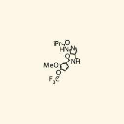 COc1cc(C(=O)NC(C)c2ccnc(NC(=O)C(C)C)c2)ccc1OCC(F)(F)F